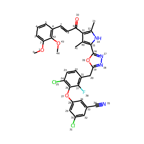 COc1cccc(/C=C/C(=O)c2c(C)[nH]c(-c3nnc(Cc4ccc(Cl)c(Oc5cc(Cl)cc(C#N)c5)c4F)o3)c2C)c1OC